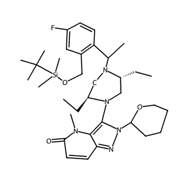 CC[C@H]1CN(C(C)c2ccc(F)cc2CO[Si](C)(C)C(C)(C)C)[C@H](CC)CN1c1c2c(ccc(=O)n2C)nn1C1CCCCO1